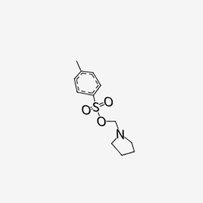 Cc1ccc(S(=O)(=O)OCN2CCCC2)cc1